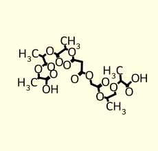 CC(COC(C)C(=O)O)OC(=O)COC(=O)CC(=O)OC(C)C(=O)OC(C)C(=O)OC(C)C(=O)O